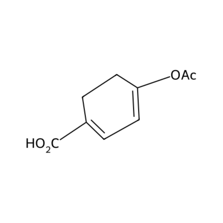 CC(=O)OC1=CC=C(C(=O)O)CC1